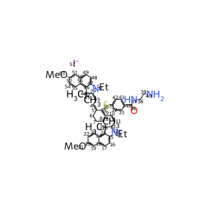 CCN1C(=CC=C2CCCC(C=CC3=[N+](CC)c4ccc5cc(OC)ccc5c4C3(C)C)=C2Sc2ccc(C(=O)NCCN)cc2)C(C)(C)c2c1ccc1cc(OC)ccc21.[I-]